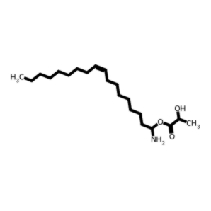 CCCCCCCC/C=C\CCCCCCCC(N)OC(=O)C(C)O